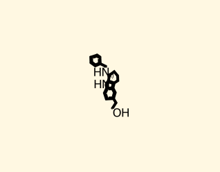 OCCc1ccc2[nH]c3c(c2c1)CCC[C@H]3NCc1ccccc1